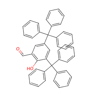 O=Cc1cc(C(c2ccccc2)(c2ccccc2)c2ccccc2)cc(C(c2ccccc2)(c2ccccc2)c2ccccc2)c1O